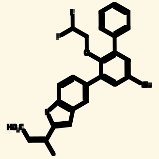 C/C(=C/C(=O)O)c1cc2cc(-c3cc(C(C)(C)C)cc(-c4ccccc4)c3OCC(F)F)ccc2s1